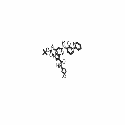 CO[C@@H]1CC[C@@H](NC(=O)c2cnn3c(N(C)C(=O)OC(C)(C)C)cc(Nc4cccn(-c5ccccn5)c4=O)nc23)C1